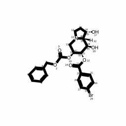 O=C(OCc1ccccc1)O[C@H]1CN2CC[C@H](O)[C@@H]2[C@@H](O)[C@@H]1OC(=O)c1ccc(Br)cc1